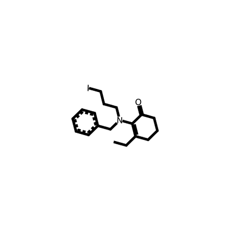 CCC1=C(N(CCCI)Cc2ccccc2)C(=O)CCC1